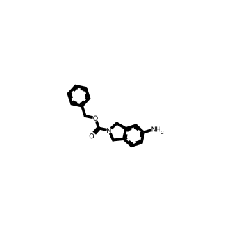 Nc1ccc2c(c1)CN(C(=O)OCc1ccccc1)C2